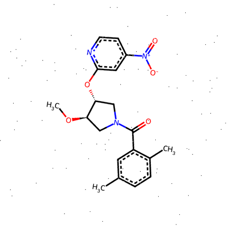 CO[C@@H]1CN(C(=O)c2cc(C)ccc2C)C[C@H]1Oc1cc([N+](=O)[O-])ccn1